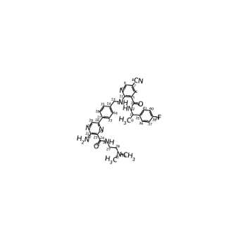 CC(NC(=O)c1cc(C#N)cnc1NCc1ccc(-c2cnc(N)c(C(=O)NCCN(C)C)n2)cc1)c1ccc(F)cc1